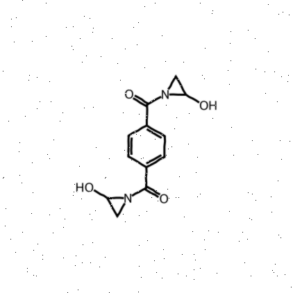 O=C(c1ccc(C(=O)N2CC2O)cc1)N1CC1O